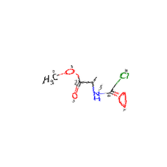 COC(=O)CNC(=O)Cl